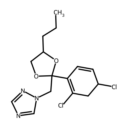 CCCC1COC(Cn2cncn2)(C2=C(Cl)CC(Cl)C=C2)O1